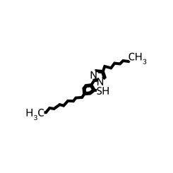 CCCCCCCCCCc1ccc(-c2ncc(CCCCCCC)cn2)c(S)c1